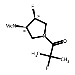 CN[C@@H]1CN(C(=O)C(C)(C)F)C[C@@H]1F